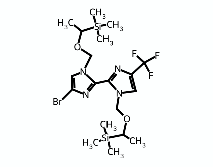 CC(OCn1cc(Br)nc1-c1nc(C(F)(F)F)cn1COC(C)[Si](C)(C)C)[Si](C)(C)C